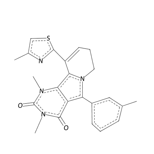 Cc1cccc(-c2c3c(=O)n(C)c(=O)n(C)c3c3n2CCC=C3c2nc(C)cs2)c1